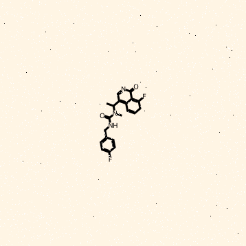 CC(C1=C2C=CCC(F)=C2C(=O)N=C1)N(C)C(=O)NCc1ccc(F)cc1